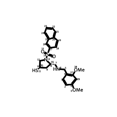 COc1ccc(CNC[C@@H]2C[C@@H](S)CN2S(=O)(=O)c2ccc3ccccc3c2)c(OC)c1